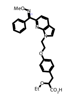 CCOC(Cc1ccc(OCCn2ccc3ccc(/C(=N/OC)c4ccccc4)nc32)cc1)C(=O)O